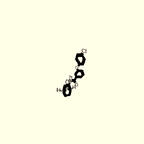 N#CN1[C@H]2CC[C@@H]1[C@H](NC(=O)c1cccc(Oc3ccc(Cl)cc3)c1)C2